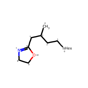 CCCCCCCCC(C)CC1=NCCO1